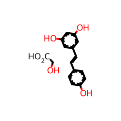 O=C(O)CO.Oc1ccc(C=Cc2cc(O)cc(O)c2)cc1